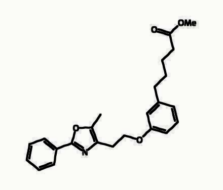 COC(=O)CCCCc1cccc(OCCc2nc(-c3ccccc3)oc2C)c1